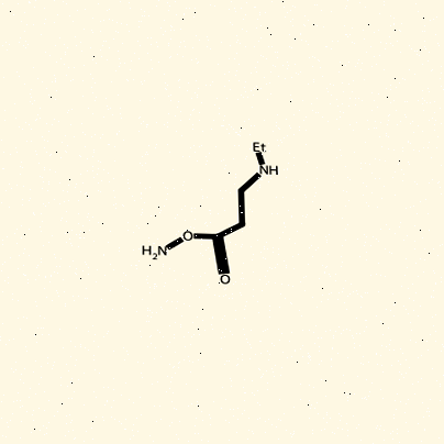 CCNCCC(=O)ON